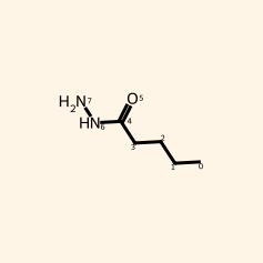 CCCCC(=O)NN